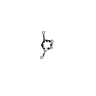 [O-]c1c[n+](Cl)no1